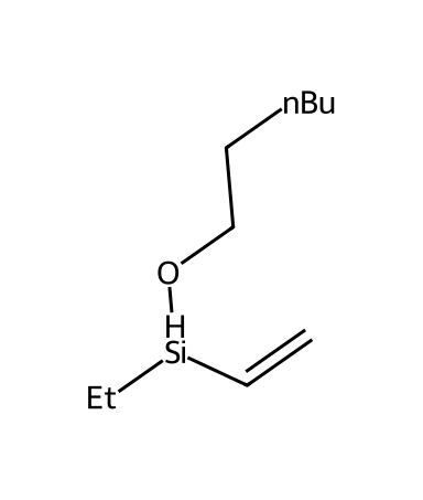 C=C[SiH](CC)OCCCCCC